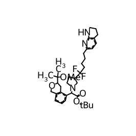 COC(C)(C)C1Cc2c(cccc2C(C(=O)OC(C)(C)C)N2CCC(C(F)(F)CCCCc3ccc4c(n3)NCCC4)C2)CO1